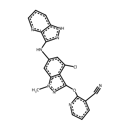 Cn1nc(Oc2ncccc2C#N)c2c(Cl)cc(Nc3n[nH]c4cccnc34)cc21